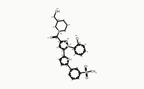 CS(=O)(=O)c1cccc(-c2ccc(-c3cc(C(=O)N4CCCC(CO)C4)nn3-c3ccccc3Cl)s2)c1